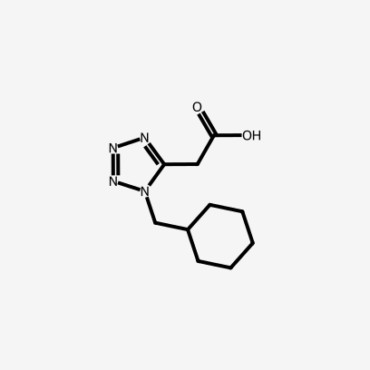 O=C(O)Cc1nnnn1CC1CCCCC1